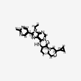 CCC(Nc1ncnc2c1nc(-c1cnc(C)nc1)n2CC)C(=O)N1CCOC(C2CC2)C1